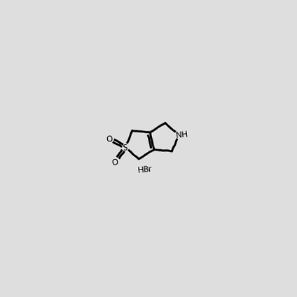 Br.O=S1(=O)CC2=C(CNC2)C1